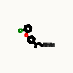 CC(=O)NCCC(C)c1ccc(Oc2ccccc2Cl)cc1